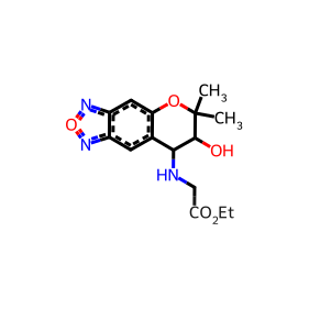 CCOC(=O)CNC1c2cc3nonc3cc2OC(C)(C)C1O